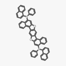 c1ccc(N(c2cccc3ccccc23)c2cc3oc4cc5c(cc4c3c3ccccc23)oc2cc(N(c3ccccc3)c3cccc4ccccc34)c3ccccc3c25)cc1